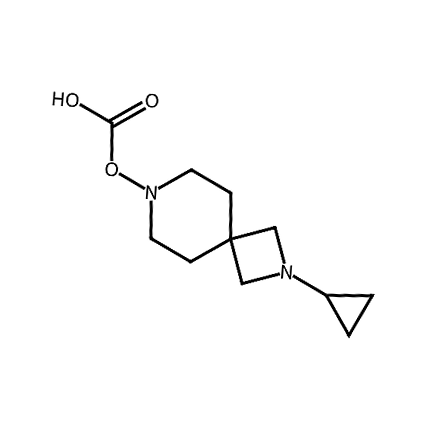 O=C(O)ON1CCC2(CC1)CN(C1CC1)C2